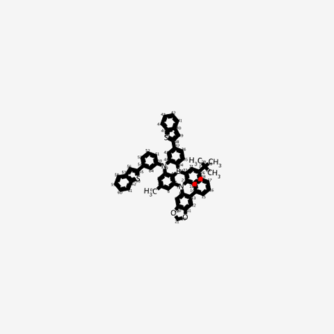 Cc1cc2c3c(c1)N(c1cc4c(cc1-c1ccccc1)OCO4)c1ccc(C(C)(C)C)cc1B3c1ccc(-c3cc4ccccc4s3)cc1N2c1cccc(-c2cc3ccccc3s2)c1